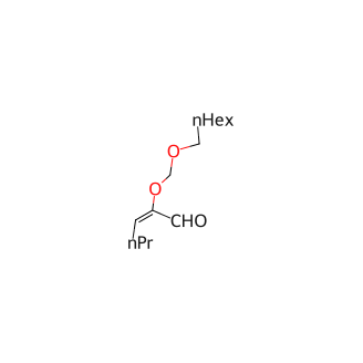 CCC/C=C(\C=O)OCOCCCCCCC